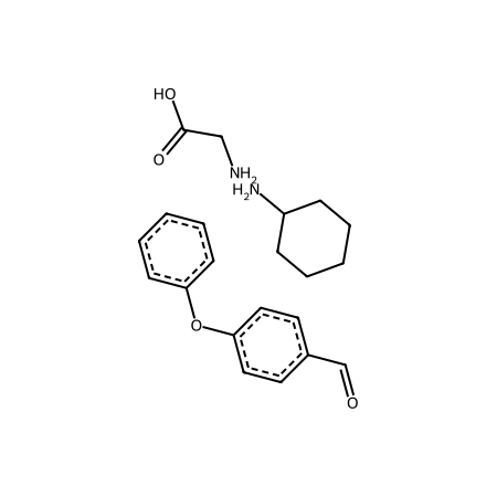 NC1CCCCC1.NCC(=O)O.O=Cc1ccc(Oc2ccccc2)cc1